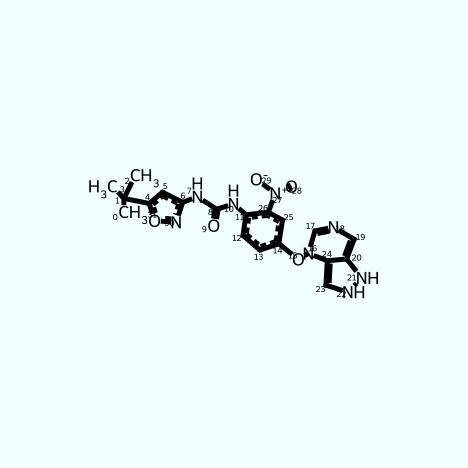 CC(C)(C)c1cc(NC(=O)Nc2ccc(ON3C=NC=C4NNC=C43)cc2[N+](=O)[O-])no1